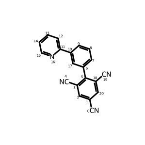 N#Cc1cc(C#N)c(-c2cccc(-c3ccccn3)c2)c(C#N)c1